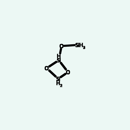 [SiH3]O[SiH]1O[SiH2]O1